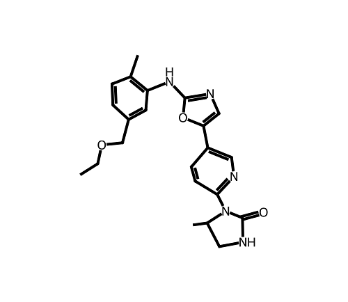 CCOCc1ccc(C)c(Nc2ncc(-c3ccc(N4C(=O)NCC4C)nc3)o2)c1